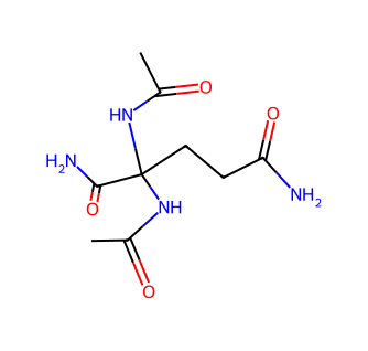 CC(=O)NC(CCC(N)=O)(NC(C)=O)C(N)=O